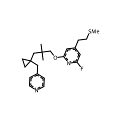 CSCCc1cc(F)nc(OCC(C)(C)CC2(Cc3ccncc3)CC2)c1